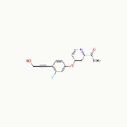 CNC(=O)c1cc(Oc2ccc(C#CCO)c(F)c2)ccn1